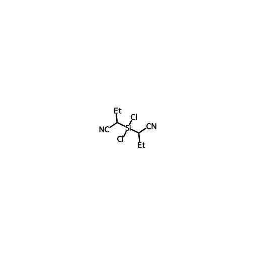 CCC(C#N)[Si](Cl)(Cl)C(C#N)CC